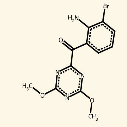 COc1nc(OC)nc(C(=O)c2cccc(Br)c2N)n1